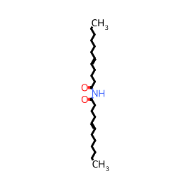 CCCCCCC=CCCCC(=O)NC(=O)CCCC=CCCCCCC